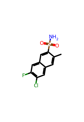 Cc1cc2cc(Cl)c(F)cc2cc1S(N)(=O)=O